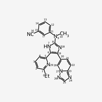 CCc1cccc(-c2[nH]c(N(C)c3cccc(C#N)c3)nc2-c2ccc3ncnn3c2)n1